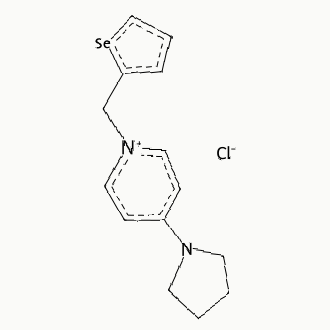 [Cl-].c1c[se]c(C[n+]2ccc(N3CCCC3)cc2)c1